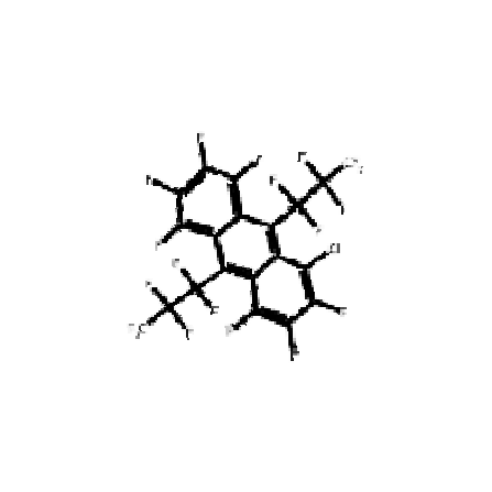 Fc1c(F)c(F)c2c(C(F)(F)C(F)(F)C(F)(F)F)c3c(Cl)c(F)c(F)c(F)c3c(C(F)(F)C(F)(F)C(F)(F)F)c2c1F